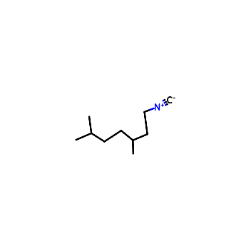 [C-]#[N+]CCC(C)CCC(C)C